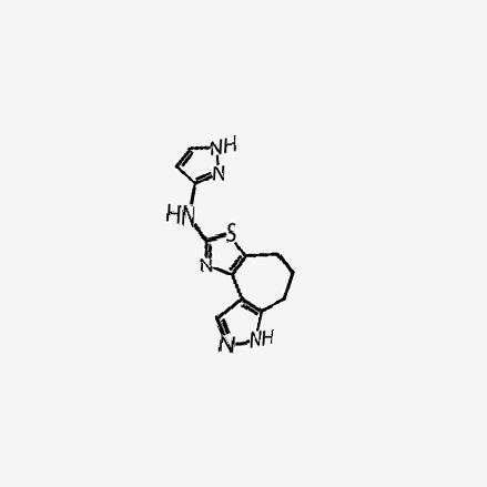 c1cc(Nc2nc3c(s2)CCCc2[nH]ncc2-3)n[nH]1